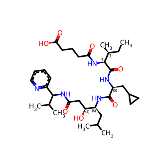 CC[C@H](C)[C@H](NC(=O)CCCC(=O)O)C(=O)N[C@@H](CC1CC1)C(=O)N[C@@H](CC(C)C)[C@@H](O)CC(=O)NC(c1ccccn1)C(C)C